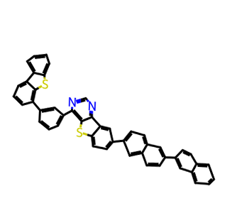 c1cc(-c2cccc3c2sc2ccccc23)cc(-c2ncnc3c2sc2ccc(-c4ccc5cc(-c6ccc7ccccc7c6)ccc5c4)cc23)c1